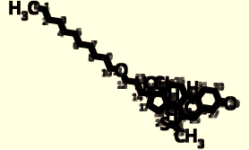 CCCCCCCCCCCOCCC[C@]1(O)CC[C@H]2[C@@H]3[C@H](C(C)=S)CC4=CC(=O)CC[C@]4(C)[C@H]3CC[C@@]21C